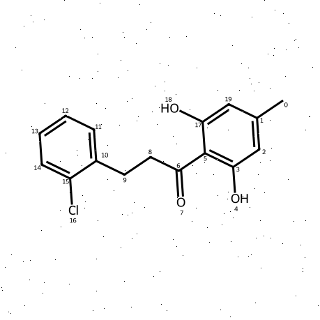 Cc1cc(O)c(C(=O)CCc2ccccc2Cl)c(O)c1